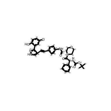 CC(C)(C)OC(=O)N[C@@H](C(=O)N1CCOC[C@H]1C(=O)Nc1ccc(C#Cc2c[nH]nc2-c2cc(Cl)ccc2O)cc1)c1ccccc1